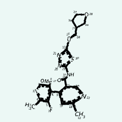 COc1cnc(C)c(F)c1-c1cc(C)ncc1C(=O)Nc1nnc(OCC2CCOC2)s1